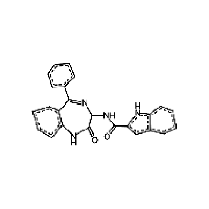 O=C(NC1N=C(c2ccccc2)c2ccccc2NC1=O)c1cc2ccccc2[nH]1